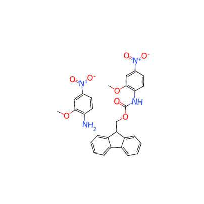 COc1cc([N+](=O)[O-])ccc1N.COc1cc([N+](=O)[O-])ccc1NC(=O)OCC1c2ccccc2-c2ccccc21